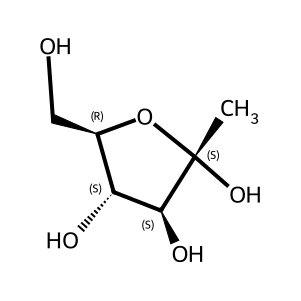 C[C@]1(O)O[C@H](CO)[C@@H](O)[C@@H]1O